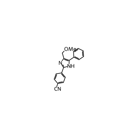 COCc1nc(-c2ccc(C#N)cc2)[nH]c1-c1ccccc1